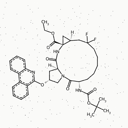 CCOC(=O)[C@@]12C[C@H]1CC(F)(F)CCCCC[C@H](NC(=O)OC(C)(C)C)C(=O)N1C[C@H](Oc3nc4ccccc4c4ccccc34)C[C@H]1C(=O)N2